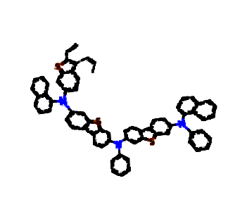 C=Cc1sc2cc(N(c3ccc4c(c3)sc3cc(N(c5ccccc5)c5ccc6c(c5)sc5cc(N(c7ccccc7)c7cccc8ccccc78)ccc56)ccc34)c3cccc4ccccc34)ccc2c1/C=C\C